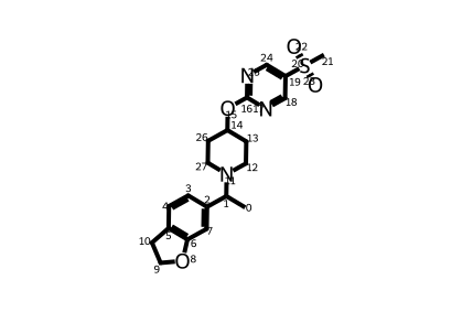 CC(c1ccc2c(c1)OCC2)N1CCC(Oc2ncc(S(C)(=O)=O)cn2)CC1